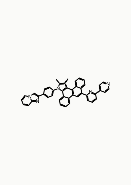 Cc1c(C)n(-c2ccc(-c3cn4ccccc4n3)cc2)c2c3ccccc3c3cc(-c4cccc(-c5ccncc5)n4)c4ccccc4c3c12